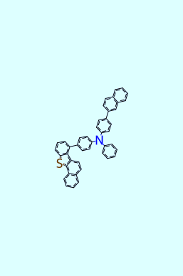 c1ccc(N(c2ccc(-c3ccc4ccccc4c3)cc2)c2ccc(-c3cccc4sc5c6ccccc6ccc5c34)cc2)cc1